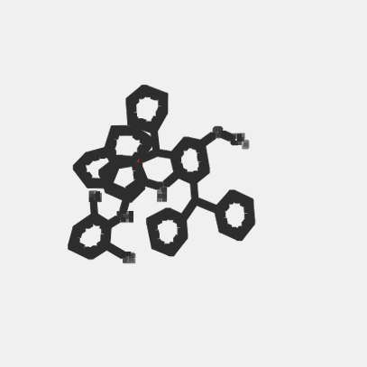 CCc1cccc(CC)c1NC1=C(Nc2c(C(c3ccccc3)c3ccccc3)cc(OC(F)(F)F)cc2C(c2ccccc2)c2ccccc2)c2cccc3cccc1c23